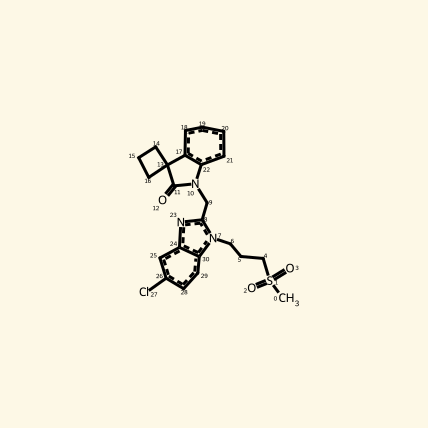 CS(=O)(=O)CCCn1c(CN2C(=O)C3(CCC3)c3ccccc32)nc2cc(Cl)ccc21